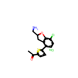 CC(=O)c1ccc(-c2ccc(Cl)c3c2CC(CN)O3)s1.Cl